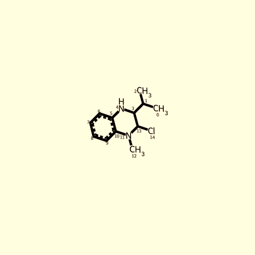 CC(C)C1Nc2ccccc2N(C)C1Cl